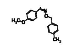 COc1ccc(/[C]=N\OCc2ccc(C)cc2)cc1